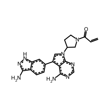 C=CC(=O)N1CCC(n2cc(-c3ccc4c(N)n[nH]c4c3)c3c(N)ncnc32)C1